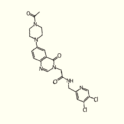 CC(=O)N1CCN(c2ccc3ncn(CC(=O)NCc4cc(Cl)c(Cl)cn4)c(=O)c3c2)CC1